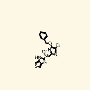 [O-][S+](Cc1ncc(Cl)c(OCc2ccccc2)n1)c1nc2cscc2[nH]1